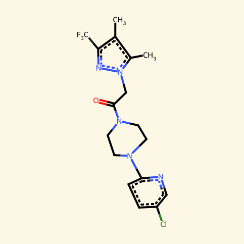 Cc1c(C(F)(F)F)nn(CC(=O)N2CCN(c3ccc(Cl)cn3)CC2)c1C